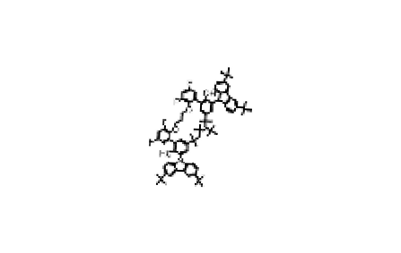 CC(C)(C)CC(C)(C)c1cc(-c2cc(F)cc(F)c2OCCCOc2c(F)cc(F)cc2-c2cc(C(C)(C)CC(C)(C)C)cc(-n3c4ccc(C(C)(C)C)cc4c4cc(C(C)(C)C)ccc43)c2O)c(O)c(C2c3ccc(C(C)(C)C)cc3-c3cc(C(C)(C)C)ccc32)c1